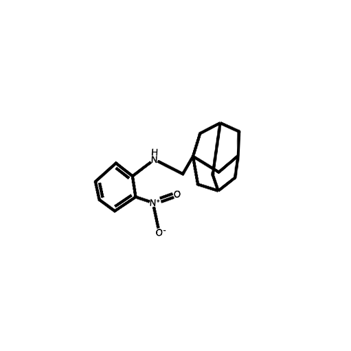 O=[N+]([O-])c1ccccc1NCC12CC3CC(CC(C3)C1)C2